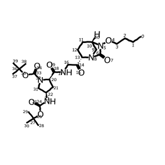 CCCCON1C(=O)N2C[C@@H]1CC[C@H]2C(=O)CNC(=O)[C@H]1C[C@@H](NC(=O)OC(C)(C)C)CN1C(=O)OC(C)(C)C